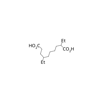 CCC(CCCCC(CC)C(=O)O)CCC(=O)O